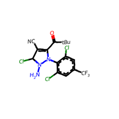 CC(C)(C)C(=O)C1=C(C#N)C(Cl)N(N)N1c1c(Cl)cc(C(F)(F)F)cc1Cl